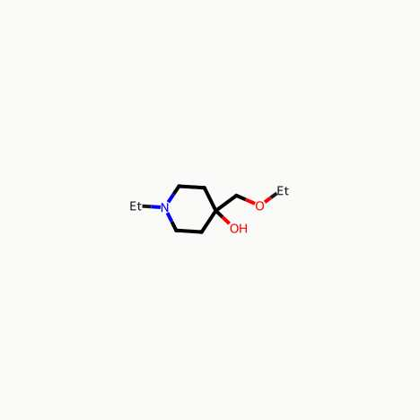 CCOCC1(O)CCN(CC)CC1